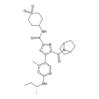 CC[C@@H](C)Nc1cc(C)c(-c2sc(C(=O)NC3CCS(=O)(=O)CC3)nc2C(=O)N2C3CCC2CC3)cn1